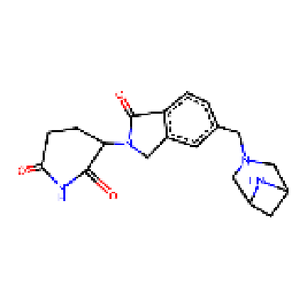 O=C1CCC(N2Cc3cc(CN4CC5CC(C4)N5)ccc3C2=O)C(=O)N1